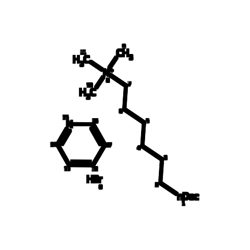 Br.CCCCCCCCCCCCCCCC[N+](C)(C)C.c1ccncc1